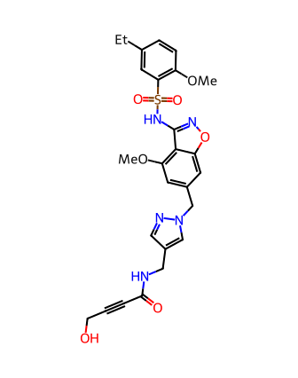 CCc1ccc(OC)c(S(=O)(=O)Nc2noc3cc(Cn4cc(CNC(=O)C#CCO)cn4)cc(OC)c23)c1